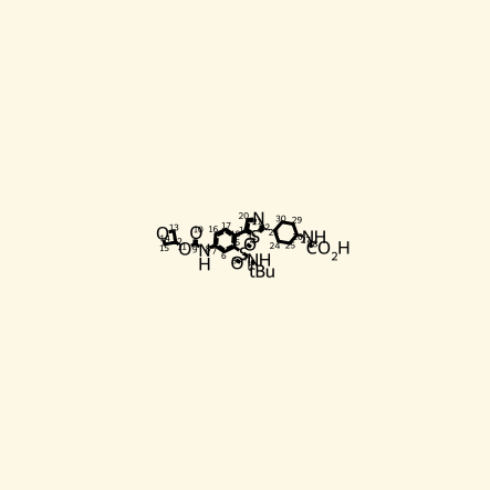 CC(C)(C)NS(=O)(=O)c1cc(NC(=O)OC2COC2)ccc1-c1cnc([C@H]2CC[C@H](NC(=O)O)CC2)s1